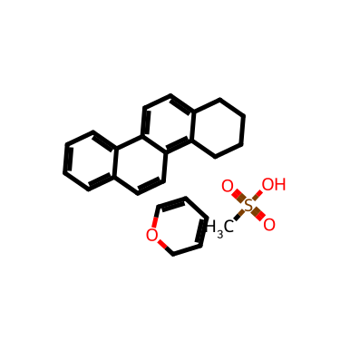 C1=CCOC=C1.CS(=O)(=O)O.c1ccc2c(c1)ccc1c3c(ccc12)CCCC3